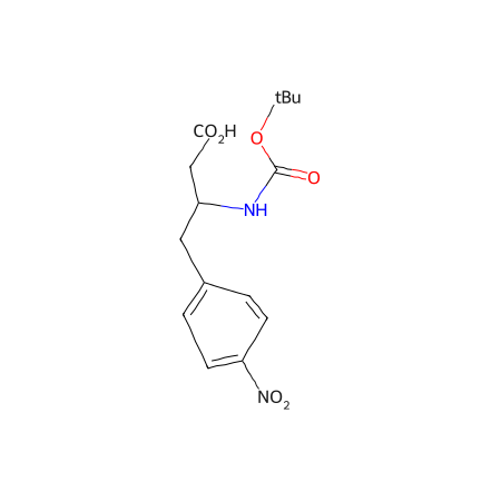 CC(C)(C)OC(=O)NC(CC(=O)O)Cc1ccc([N+](=O)[O-])cc1